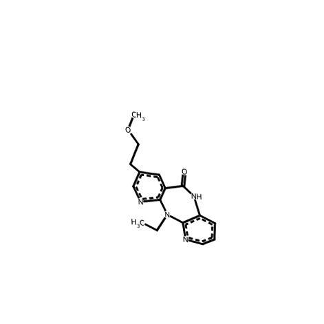 CCN1c2ncccc2NC(=O)c2cc(CCOC)cnc21